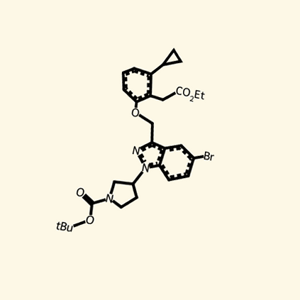 CCOC(=O)Cc1c(OCc2nn(C3CCN(C(=O)OC(C)(C)C)C3)c3ccc(Br)cc23)cccc1C1CC1